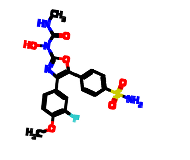 CNC(=O)N(O)c1nc(-c2ccc(OC)c(F)c2)c(-c2ccc(S(N)(=O)=O)cc2)o1